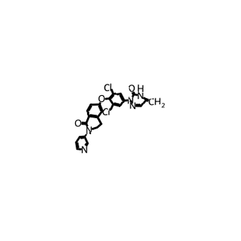 C=C1C=NN(c2cc(Cl)c(Oc3ccc4c(c3)CCN(c3cccnc3)C4=O)c(Cl)c2)C(=O)N1